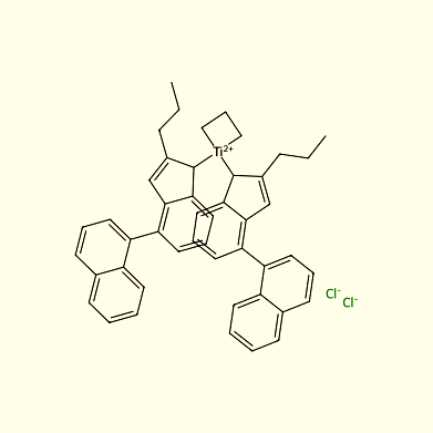 CCCC1=Cc2c(-c3cccc4ccccc34)cccc2[CH]1[Ti+2]1([CH]2C(CCC)=Cc3c(-c4cccc5ccccc45)cccc32)[CH2]C[CH2]1.[Cl-].[Cl-]